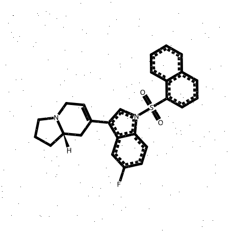 O=S(=O)(c1cccc2ccccc12)n1cc(C2=CCN3CCC[C@H]3C2)c2cc(F)ccc21